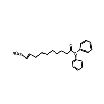 CCCCCCCCC=CCCCCCCCC(=O)N(c1ccccc1)c1ccccc1